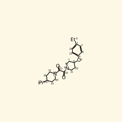 CCc1ccc(OC2CCN(C(=O)C(=O)N3CCC(C(C)C)CC3)CC2)cc1